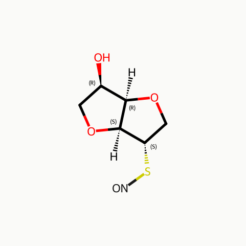 O=NS[C@H]1CO[C@H]2[C@@H]1OC[C@H]2O